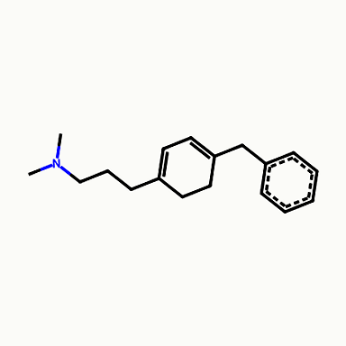 CN(C)CCCC1=CC=C(Cc2ccccc2)CC1